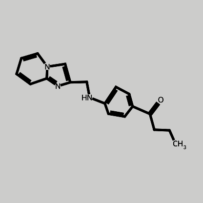 CCCC(=O)c1ccc(NCc2cn3ccccc3n2)cc1